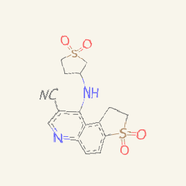 N#Cc1cnc2ccc3c(c2c1NC1CCS(=O)(=O)C1)CCS3(=O)=O